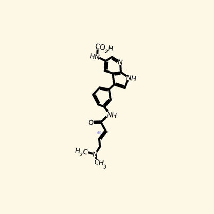 CN(C)C/C=C/C(=O)Nc1cccc(-c2c[nH]c3ncc(NC(=O)O)cc23)c1